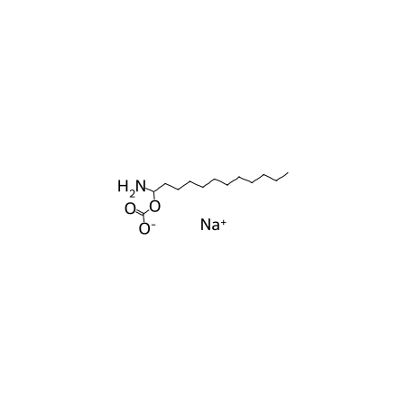 CCCCCCCCCCCC(N)OC(=O)[O-].[Na+]